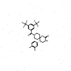 Cc1ccc([C@H]2CNC(=O)OC23CCN(C(=O)c2cc(C(F)(F)F)cc(C(F)(F)F)c2)CC3)cc1C